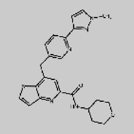 Cn1ccc(-c2ccc(Cc3cc(C(=O)NC4CCOCC4)nc4ccsc34)cn2)n1